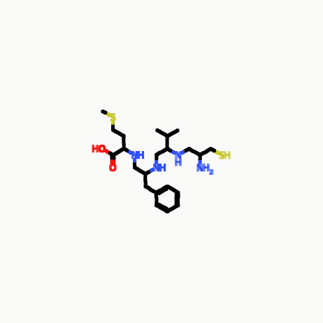 CSCCC(NCC(Cc1ccccc1)NCC(NCC(N)CS)C(C)C)C(=O)O